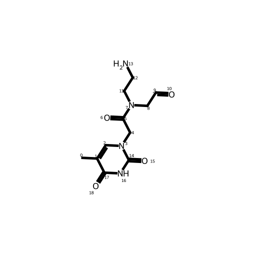 Cc1cn(CC(=O)N(C[C]=O)CCN)c(=O)[nH]c1=O